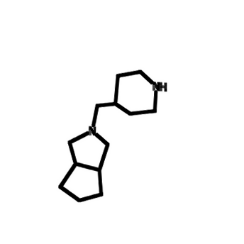 C1CC2CN(CC3CCNCC3)CC2C1